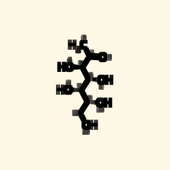 CC(=O)[C@H](O)[C@H](O)[C@@H](O)[C@H](O)CO